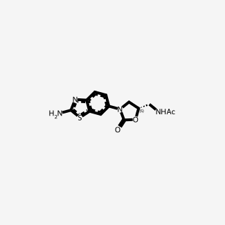 CC(=O)NC[C@H]1CN(c2ccc3nc(N)sc3c2)C(=O)O1